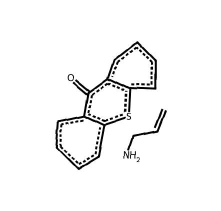 C=CCN.O=c1c2ccccc2sc2ccccc12